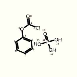 O=C(Cl)Oc1ccccc1.O=P(O)(O)O